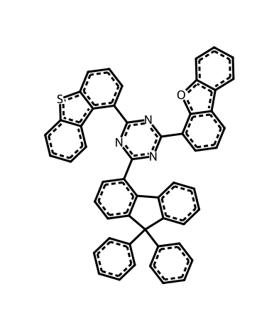 c1ccc(C2(c3ccccc3)c3ccccc3-c3c(-c4nc(-c5cccc6c5oc5ccccc56)nc(-c5cccc6sc7ccccc7c56)n4)cccc32)cc1